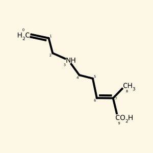 C=CCNCCC=C(C)C(=O)O